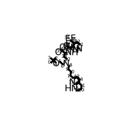 CC(C)(C)OCCN(CCCCc1ccc2c(n1)NCCC2)CCC(NC(=O)c1nnccc1C(F)(F)F)C(=O)O